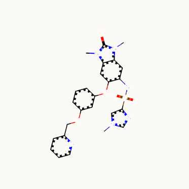 Cn1cnc(S(=O)(=O)Nc2cc3c(cc2Oc2cccc(OCc4ccccn4)c2)n(C)c(=O)n3C)c1